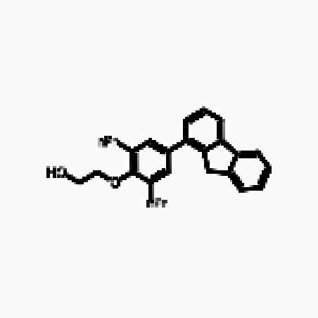 CCCc1cc(-c2cccc3c2Cc2ccccc2-3)cc(CCC)c1OCCO